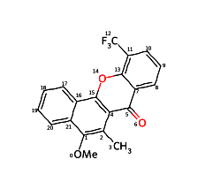 COc1c(C)c2c(=O)c3cccc(C(F)(F)F)c3oc2c2ccccc12